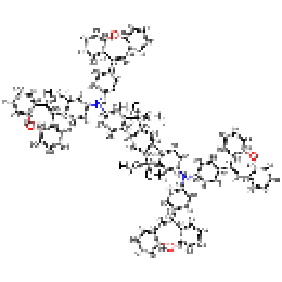 Cc1cc(N(c2ccc(C3=Cc4ccccc4Oc4ccccc43)cc2)c2ccc3c(c2)C(C)(C)c2cc4c(cc2-3)C(C)(C)c2cc(N(c3ccc(C5=Cc6ccccc6Oc6ccccc65)cc3)c3ccc(C5=Cc6ccccc6Oc6ccccc65)cc3)ccc2-4)ccc1C1=Cc2ccccc2Oc2ccccc21